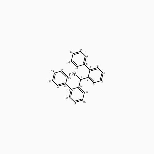 CCC[C](c1ccccc1-c1ccccc1)c1ccccc1-c1ccccc1